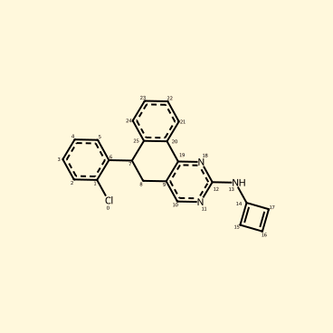 Clc1ccccc1C1Cc2cnc(NC3=CC=C3)nc2-c2ccccc21